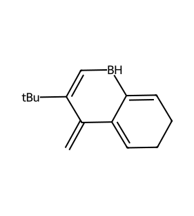 C=C1C2=CCCC=C2BC=C1C(C)(C)C